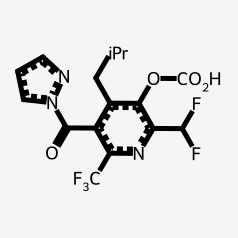 CC(C)Cc1c(OC(=O)O)c(C(F)F)nc(C(F)(F)F)c1C(=O)n1cccn1